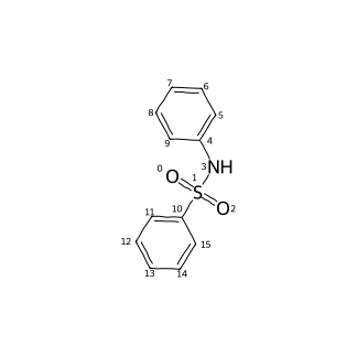 O=S(=O)(Nc1ccccc1)c1ccccc1